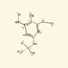 CCOc1nc(NC(C)(C#N)CC)nc(NC(C)C)c1C#N